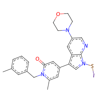 Cc1cccc(Cn2c(C)cc(-c3cn(SI)c4ncc(N5CCOCC5)cc34)cc2=O)c1